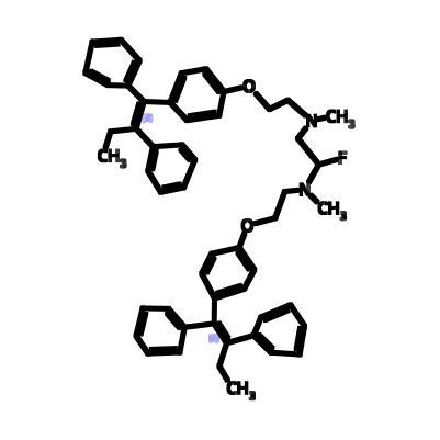 CC/C(=C(\c1ccccc1)c1ccc(OCCN(C)CC(F)N(C)CCOc2ccc(/C(=C(/CC)c3ccccc3)c3ccccc3)cc2)cc1)c1ccccc1